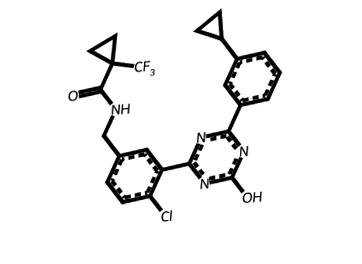 O=C(NCc1ccc(Cl)c(-c2nc(O)nc(-c3cccc(C4CC4)c3)n2)c1)C1(C(F)(F)F)CC1